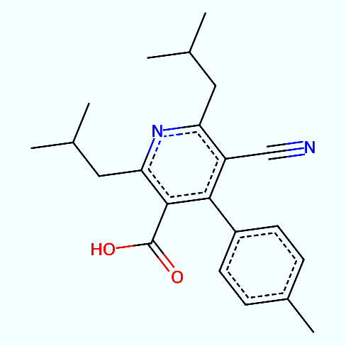 Cc1ccc(-c2c(C#N)c(CC(C)C)nc(CC(C)C)c2C(=O)O)cc1